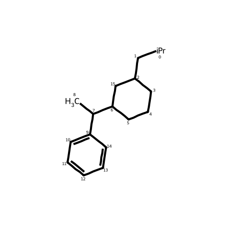 CC(C)CC1CCCC(C(C)c2ccccc2)C1